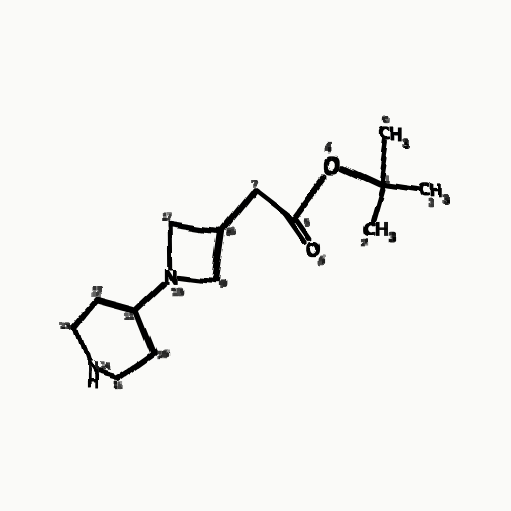 CC(C)(C)OC(=O)CC1CN(C2CCNCC2)C1